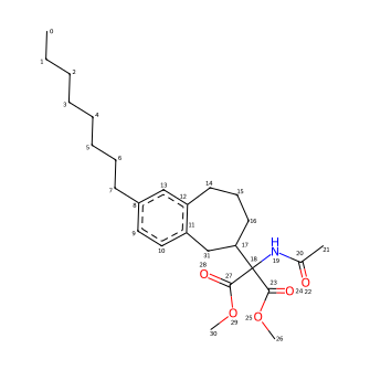 CCCCCCCCc1ccc2c(c1)CCCC(C(NC(C)=O)(C(=O)OC)C(=O)OC)C2